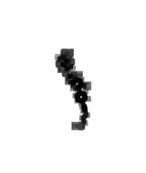 OCCCC#Cc1ccc(-c2nc3nc(O[C@@H]4CO[C@H]5[C@@H]4OC[C@H]5O)[nH]c3cc2Cl)cc1